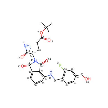 CC(C)(C)OC(=O)CC[C@@H](C(N)=O)N1C(=O)c2cccc(NCc3ccc(CO)cc3F)c2C1=O